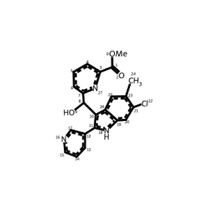 COC(=O)c1cccc(C(O)c2c(-c3cccnc3)[nH]c3cc(Cl)c(C)cc23)n1